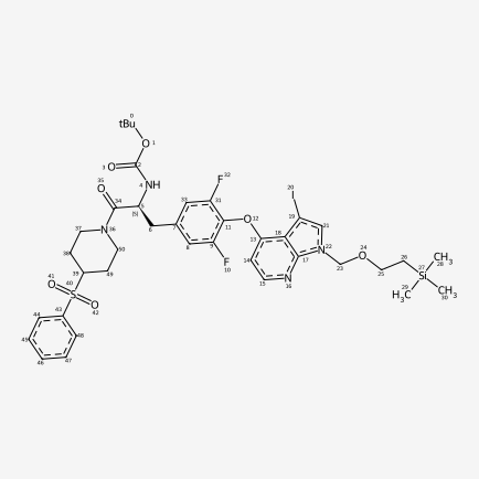 CC(C)(C)OC(=O)N[C@@H](Cc1cc(F)c(Oc2ccnc3c2c(I)cn3COCC[Si](C)(C)C)c(F)c1)C(=O)N1CCC(S(=O)(=O)c2ccccc2)CC1